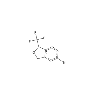 FC(F)(F)C1OCc2cc(Br)ccc21